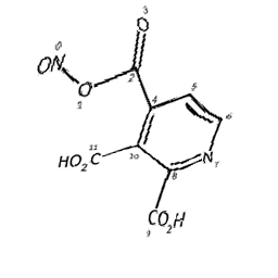 O=NOC(=O)c1ccnc(C(=O)O)c1C(=O)O